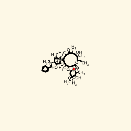 CC[C@H]1OC(=O)[C@H](C)[C@@H](O[C@H]2C[C@@](C)(OC)[C@@H](O)[C@H](C)O2)[C@H](C)[C@@H](O[C@@H]2O[C@H](C)C[C@H](N(C)Cc3ccccc3)[C@H]2O)[C@@](C)(OC)C[C@@H](C)C(=O)[C@H](C)[C@@H](O)[C@H]1C